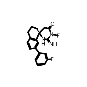 N=C1N[C@@]2(CCCc3ccc(-c4cccc(F)c4)cc32)CC(=O)N1F